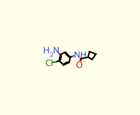 Nc1cc(NC(=O)C2CCC2)ccc1Cl